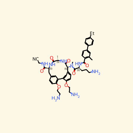 CCc1ccc(-c2ccc(C(=O)N[C@@H](CCCN)C(=O)N(C)[C@@H]3C(=O)N[C@@H](C)C(=O)N[C@H](C(=O)NCC#N)Cc4ccc(OCCN)c(c4)-c4cc3ccc4OCCN)c(C)c2)cc1